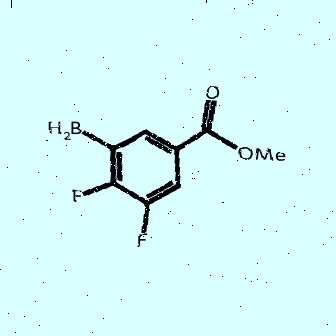 Bc1cc(C(=O)OC)cc(F)c1F